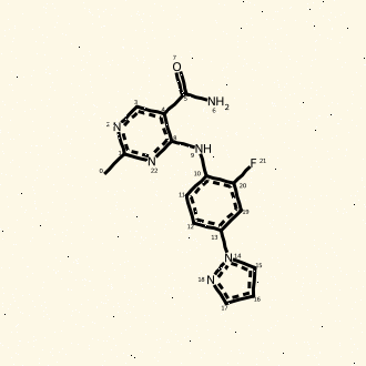 Cc1ncc(C(N)=O)c(Nc2ccc(-n3cccn3)cc2F)n1